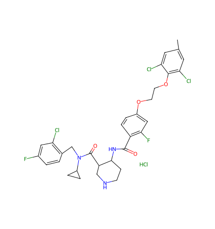 Cc1cc(Cl)c(OCCOc2ccc(C(=O)NC3CCNCC3C(=O)N(Cc3ccc(F)cc3Cl)C3CC3)c(F)c2)c(Cl)c1.Cl